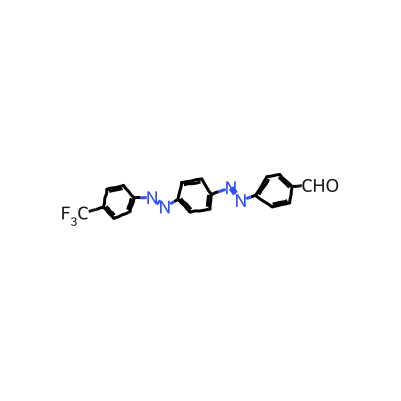 O=Cc1ccc(N=Nc2ccc(N=Nc3ccc(C(F)(F)F)cc3)cc2)cc1